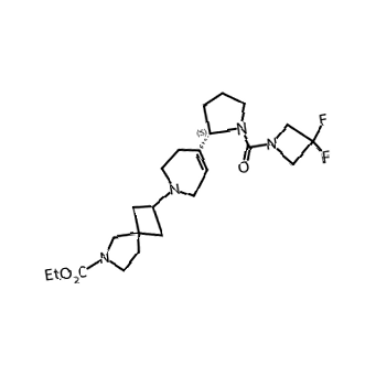 CCOC(=O)N1CCC2(CC(N3CC=C([C@@H]4CCCN4C(=O)N4CC(F)(F)C4)CC3)C2)C1